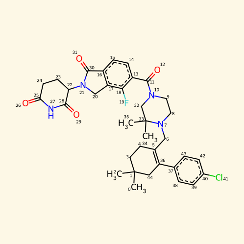 CC1(C)CCC(CN2CCN(C(=O)c3ccc4c(c3F)CN(C3CCC(=O)NC3=O)C4=O)CC2(C)C)=C(c2ccc(Cl)cc2)C1